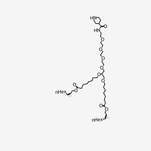 CCCCCC/C=C\COC(=O)CCCCCCCOCC(COCCOCCOCCOCCNC(=O)C1CCNCC1)OCCCCCCCC(=O)OC/C=C\CCCCCC